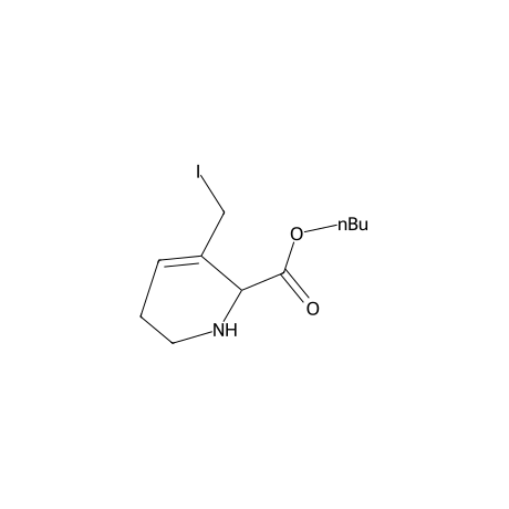 CCCCOC(=O)C1NCCC=C1CI